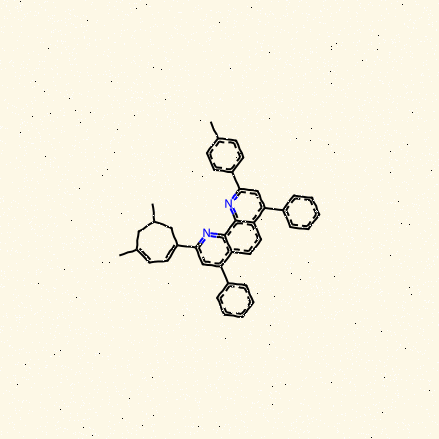 CC1=CC=C(c2cc(-c3ccccc3)c3ccc4c(-c5ccccc5)cc(-c5ccc(C)cc5)nc4c3n2)CC(C)C1